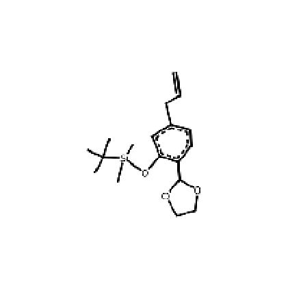 C=CCc1ccc(C2OCCO2)c(O[Si](C)(C)C(C)(C)C)c1